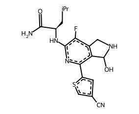 CC(C)C[C@@H](Nc1nc(-c2cc(C#N)cs2)c2c(c1F)CNC2O)C(N)=O